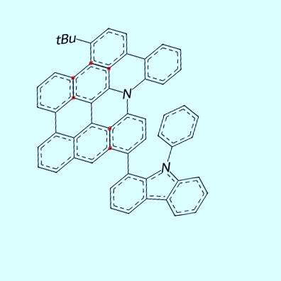 CC(C)(C)c1ccc(-c2ccccc2N(c2ccc(-c3cccc4c5ccccc5n(-c5ccccc5)c34)cc2)c2ccccc2-c2cccc3cccc(-c4ccccc4)c23)cc1